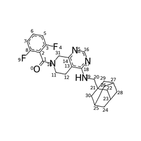 O=C(c1c(F)cccc1F)N1CCc2c(ncnc2NCC23CC4CC(CC(C4)C2)C3)C1